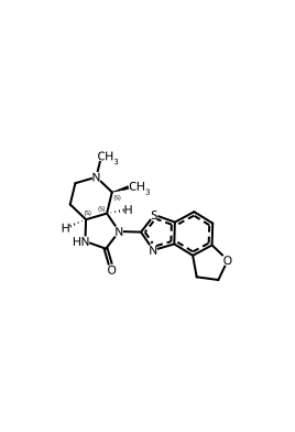 C[C@H]1[C@@H]2[C@H](CCN1C)NC(=O)N2c1nc2c3c(ccc2s1)OCC3